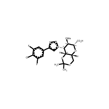 CO[C@@H]1[C@@H](n2cc(-c3cc(F)c(Cl)c(F)c3)nn2)[C@H]2OC(C)(C)OC[C@H]2O[C@H]1C(=O)O